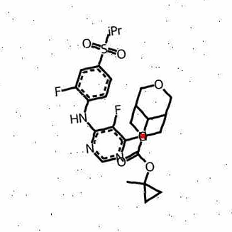 CC(C)S(=O)(=O)c1ccc(Nc2ncnc(OC3C4COCC3CN(C(=O)OC3(C)CC3)C4)c2F)c(F)c1